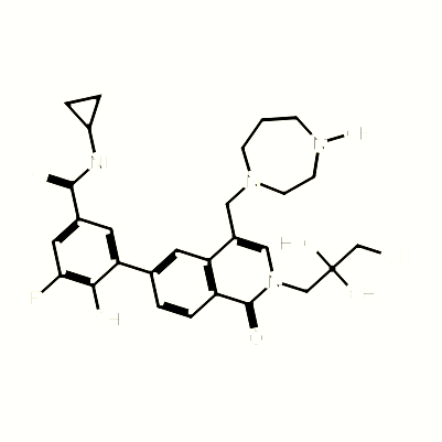 Cc1c(F)cc(C(=O)NC2CC2)cc1-c1ccc2c(=O)n(CC(C)(C)CO)cc(CN3CCCN(C)CC3)c2c1